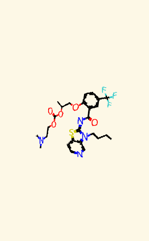 CCCCn1c(=NC(=O)c2cc(C(F)(F)F)ccc2OCC(C)OC(=O)OCCN(C)C)sc2ccncc21